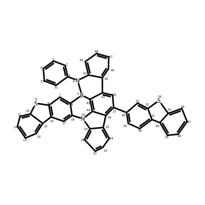 c1ccc(N2B3c4cc5sc6ccccc6c5cc4-n4c5ccccc5c5c(-c6ccc7c(c6)sc6ccccc67)cc(c3c54)-c3ccccc32)cc1